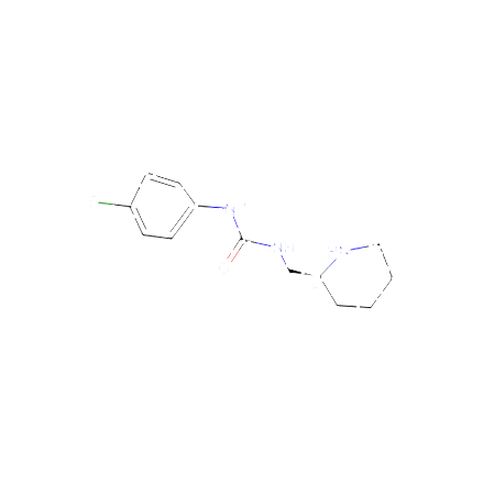 O=C(NC[C@@H]1CCCCN1)Nc1ccc(F)cc1